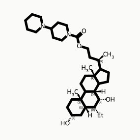 CC[C@H]1[C@@H](O)[C@H]2C3CCC([C@H](C)CCOC(=O)N4CCC(N5CCCCC5)CC4)[C@@]3(C)CCC2[C@@]2(C)CC[C@@H](O)C[C@@H]12